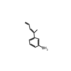 Bc1cccc(/C(C)=C/C=C)c1